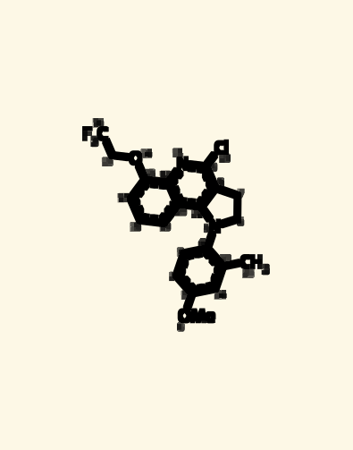 COc1ccc(N2CCc3c(Cl)nc4c(OCC(F)(F)F)cccc4c32)c(C)c1